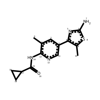 Cc1cc(-c2nc(N)sc2C)cnc1NC(=O)C1CC1